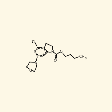 CCCCOC(=O)N1CCc2c1cc(N1CCOCC1)nc2Cl